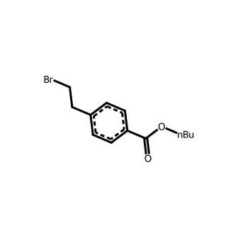 CCCCOC(=O)c1ccc(CCBr)cc1